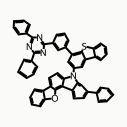 c1ccc(-c2ccc3c4c5oc6ccccc6c5ccc4n(-c4cc(-c5cccc(-c6nc(-c7ccccc7)nc(-c7ccccc7)n6)c5)c5sc6ccccc6c5c4)c3c2)cc1